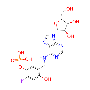 O=P(O)(O)Oc1cc(CNc2ncnc3c2ncn3[C@@H]2O[C@H](CO)[C@@H](O)[C@H]2O)c(O)cc1I